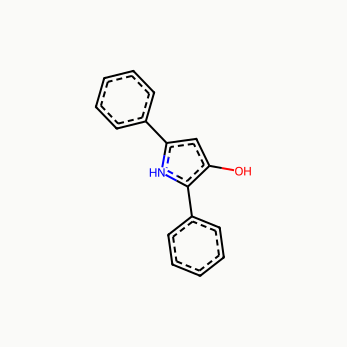 Oc1cc(-c2ccccc2)[nH]c1-c1ccccc1